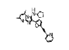 Cc1cc(C)n2c(NC3CCCC3)c(-c3ccc(C#Cc4ccccn4)o3)nc2n1